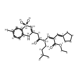 CCOC(=O)C(C=C1CCCC1)=NN(CCC(C)C)C(=O)CC1=NS(=O)(=O)c2cc(I)ccc2N1